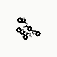 CCCCCN(Cc1ccccc1)c1ccc(C(=O)Nc2cnc3ccccc3c2)cc1.NC(=O)c1ccccc1-c1cnc2ccccc2c1